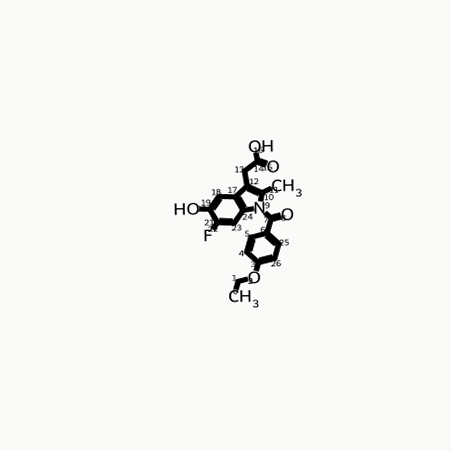 CCOc1ccc(C(=O)n2c(C)c(CC(=O)O)c3cc(O)c(F)cc32)cc1